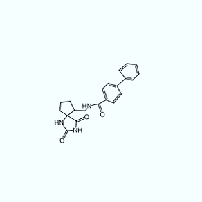 O=C1NC(=O)C2(CCCC2CNC(=O)c2ccc(-c3ccccc3)cc2)N1